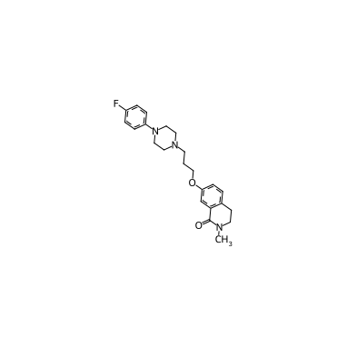 CN1CCc2ccc(OCCCN3CCN(c4ccc(F)cc4)CC3)cc2C1=O